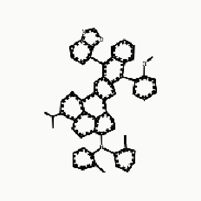 COc1ccccc1-c1c2ccccc2c(-c2cccc3ncoc23)c2cc3c(cc12)c1ccc(N(c2ccccc2C)c2ccccc2C)c2ccc4c(C(C)C)ccc3c4c21